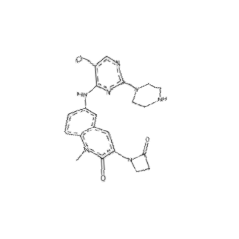 Cn1c(=O)c(N2CCC2=O)cc2cc(Nc3nc(N4CCNCC4)ncc3Cl)ccc21